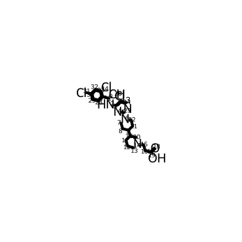 CC(Nc1nc(N2CCC(C3CCCN(CCC(=O)O)C3)CC2)ncc1Cl)c1ccc(Cl)cc1Cl